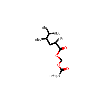 CCCCCCCC(=O)OCOC(=O)C(CCC)CC(CCCC)C(CCCC)CCCC